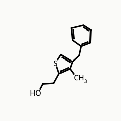 Cc1c(Cc2ccccc2)csc1CCO